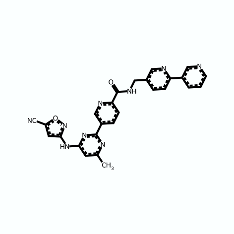 Cc1cc(Nc2cc(C#N)on2)nc(-c2ccc(C(=O)NCc3ccc(-c4cccnc4)nc3)nc2)n1